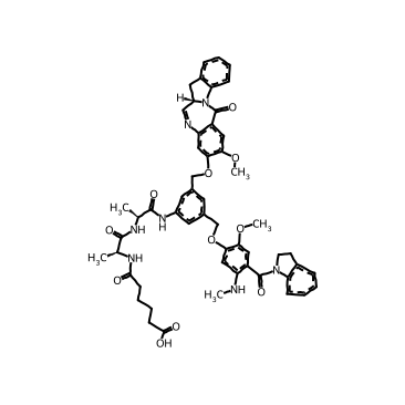 CNc1cc(OCc2cc(COc3cc4c(cc3OC)C(=O)N3c5ccccc5C[C@H]3C=N4)cc(NC(=O)[C@H](C)NC(=O)[C@H](C)NC(=O)CCCCC(=O)O)c2)c(OC)cc1C(=O)N1CCc2ccccc21